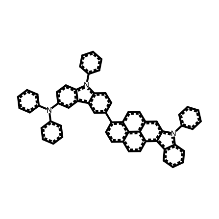 c1ccc(N(c2ccccc2)c2ccc3c(c2)c2cc(-c4ccc5ccc6c7c(ccc4c57)cc4c6c5ccccc5n4-c4ccccc4)ccc2n3-c2ccccc2)cc1